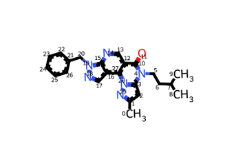 Cc1cc2n(CCC(C)C)c(=O)c3cnc4c(cnn4Cc4ccccc4)c3n2n1